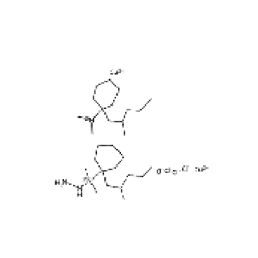 CCCC(C)CC1([15N+](C)(C)NN)CCCCC1.CCCC(C)CC1([15N](C)C)CCCCC1.[Cl-].[Cl-].[Cl-].[Cl-].[Cu+2].[Cu+2]